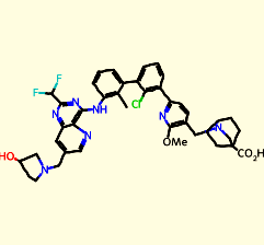 COc1nc(-c2cccc(-c3cccc(Nc4nc(C(F)F)nc5cc(CN6CC[C@@H](O)C6)cnc45)c3C)c2Cl)ccc1CN1CC2(C(=O)O)CCC1CC2